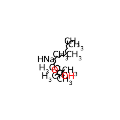 Cc1c(C)c2c(c(C)c1O)CC[C@@](C)(CCC[C@H](C)CCC[C@H](C)CCCC(C)C)O2.[NaH]